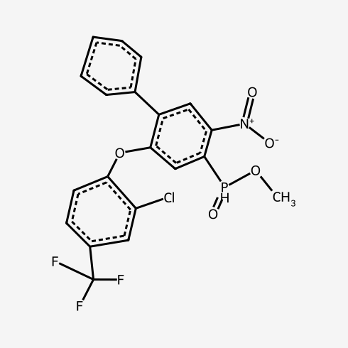 CO[PH](=O)c1cc(Oc2ccc(C(F)(F)F)cc2Cl)c(-c2ccccc2)cc1[N+](=O)[O-]